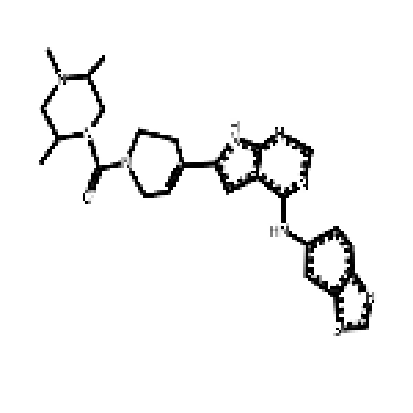 CC1CN(C(=O)N2CC=C(c3cc4c(Nc5ccc6ncsc6c5)ncnc4[nH]3)CC2)C(C)CN1C